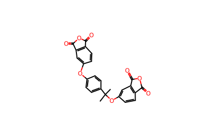 CC(C)(Oc1ccc2c(c1)C(=O)OC2=O)c1ccc(Oc2ccc3c(c2)C(=O)OC3=O)cc1